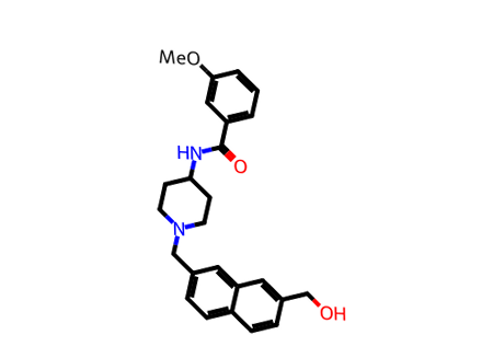 COc1cccc(C(=O)NC2CCN(Cc3ccc4ccc(CO)cc4c3)CC2)c1